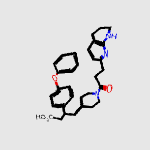 O=C(O)CC(CC1CCN(C(=O)CCc2ccc3c(n2)NCCC3)CC1)c1ccc(Oc2ccccc2)cc1